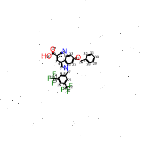 N#C/C(=C\c1cn(Cc2cc(C(F)(F)F)cc(C(F)(F)F)c2)c2cc(OCc3ccccc3)ccc12)C(=O)O